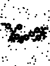 CCn1c(C)c(C(=O)O)c(-c2cccc(N3CCN(c4ccc(N5CCO[P@]5(=O)c5ccc(N[C@H](CCN6CCC(O)CC6)CSc6ccccc6)c(S(=O)(=O)C(F)(F)F)c5)cc4)CC3)c2)c1-c1ccc(Cl)cc1